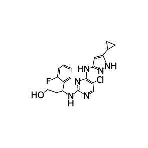 OCCC(Nc1ncc(Cl)c(Nc2cc(C3CC3)[nH]n2)n1)c1ccccc1F